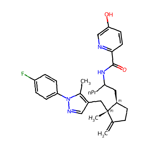 C=C1CC[C@H](CC(CCC)NC(=O)c2ccc(O)cn2)[C@@]1(C)Cc1cnn(-c2ccc(F)cc2)c1C